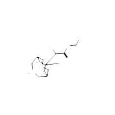 CCOC(=O)C(O)C1(O)CC2CNCC(COC2)C1